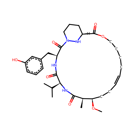 CO[C@@H]1CC/C=C\CCCCOC(=O)[C@@H]2CCCN(N2)C(=O)[C@H](Cc2cccc(O)c2)NC(=O)[C@H](C(C)C)NC(=O)[C@@H]1C